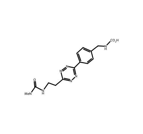 CNC(=O)NCCc1nnc(-c2ccc(CNC(=O)O)cc2)nn1